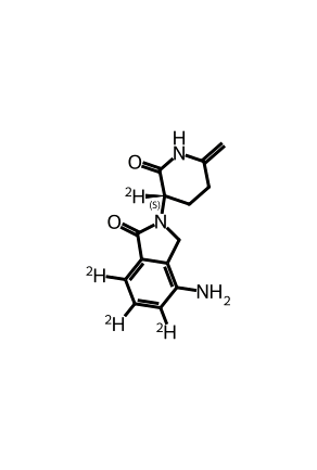 [2H]c1c([2H])c(N)c2c(c1[2H])C(=O)N([C@@]1([2H])CCC(=C)NC1=O)C2